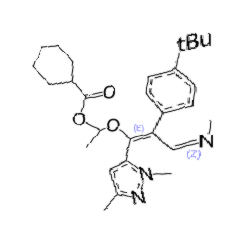 C/N=C\C(=C(\OC(C)OC(=O)C1CCCCC1)c1cc(C)nn1C)c1ccc(C(C)(C)C)cc1